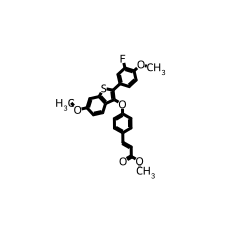 COC(=O)C=Cc1ccc(Oc2c(-c3ccc(OC)c(F)c3)sc3cc(OC)ccc23)cc1